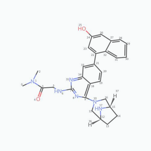 CN(C)C(=O)CNc1nc(N2C[C@H]3CC[C@@H](C2)N3)c2ccc(-c3cc(O)cc4ccccc34)cc2n1